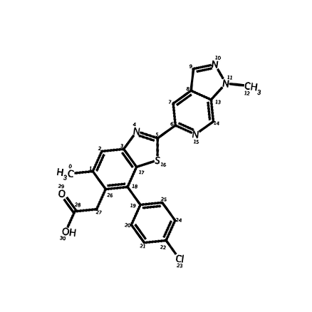 Cc1cc2nc(-c3cc4cnn(C)c4cn3)sc2c(-c2ccc(Cl)cc2)c1CC(=O)O